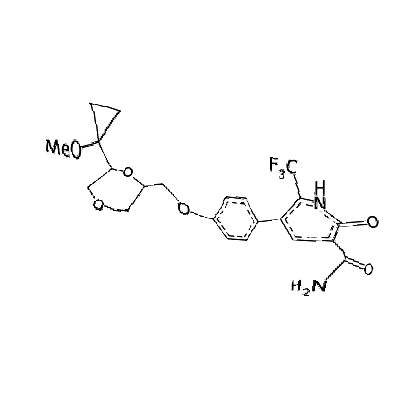 COC1(C2COCC(COc3ccc(-c4cc(C(N)=O)c(=O)[nH]c4C(F)(F)F)cc3)O2)CC1